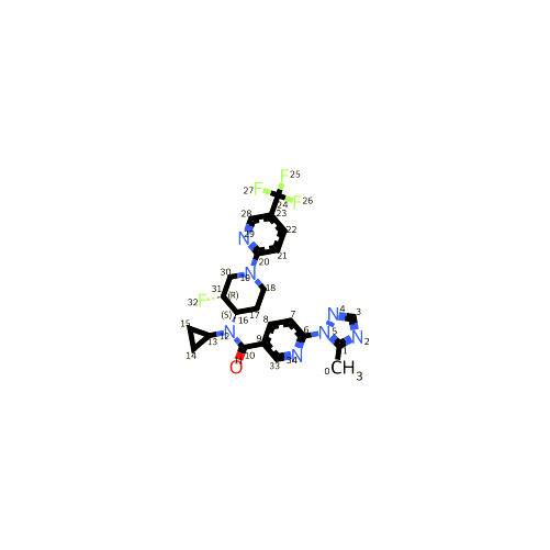 Cc1ncnn1-c1ccc(C(=O)N(C2CC2)[C@H]2CCN(c3ccc(C(F)(F)F)cn3)C[C@H]2F)cn1